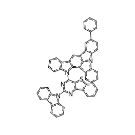 c1ccc(-c2ccc3c(c2)c2cc4c5ccccc5n(-c5nc(-n6c7ccccc7c7ccccc76)nc6c5sc5ccccc56)c4c4c5ccccc5n3c24)cc1